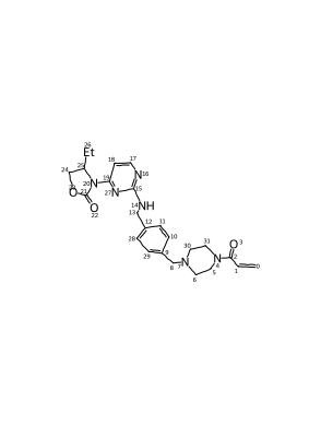 C=CC(=O)N1CCN(Cc2ccc(CNc3nccc(N4C(=O)OCC4CC)n3)cc2)CC1